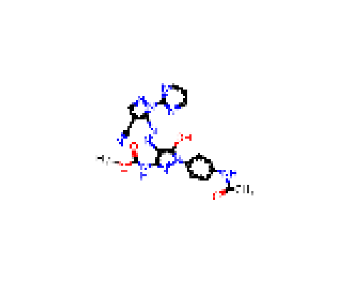 COC(=O)Nc1nn(-c2ccc(NC(C)=O)cc2)c(O)c1N=Nc1c(C#N)cnn1-c1ncccn1